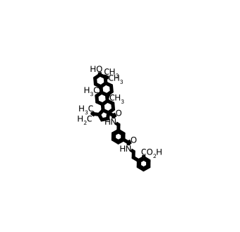 C=C(C)C1CCC2(C(=O)NCc3cccc(C(=O)NCCc4ccccc4C(=O)O)c3)CCC3C(CCC4C3(C)CCC3C(C)(C)C(O)CCC34C)C12